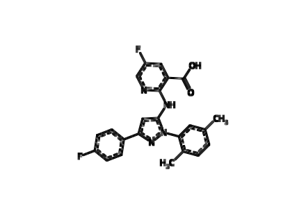 Cc1ccc(C)c(-n2nc(-c3ccc(F)cc3)cc2Nc2ncc(F)cc2C(=O)O)c1